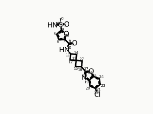 C[S@@](=N)(=O)c1ccc(C(=O)NC2CC3(C2)CC(c2nc4cc(Cl)ccc4o2)C3)o1